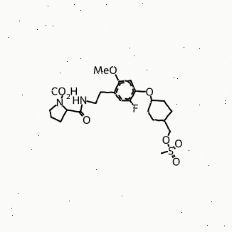 COc1cc(OC2CCC(COS(C)(=O)=O)CC2)c(F)cc1CCNC(=O)C1CCCN1C(=O)O